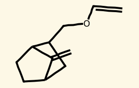 C=COCC1CC2CCC1C2=C